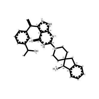 C=C(c1cccc(C(C)O)c1)c1n[nH]c2nc(N3CCC4(CC3)Cc3ccccc3[C@H]4N)[nH]c(=O)c12